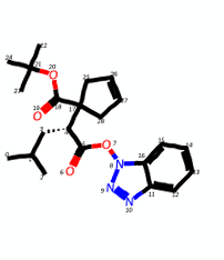 CC(C)C[C@@H](C(=O)On1nnc2ccccc21)C1(C(=O)OC(C)(C)C)CC=CC1